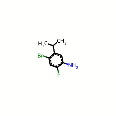 CC(C)c1cc(N)c(F)cc1Br